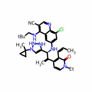 C=C(c1ccn(CC)c(=O)c1/C=C\C)[C@H](Nc1cc(Cl)c2ncc(C#N)c(NCC(C)(C)C)c2c1)C1=CN(C2(C)CC2)NN1